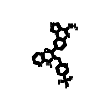 C[C@H](c1ncccn1)N(Cc1ccc(C(F)(F)F)cn1)C(=O)c1ccc2nc(N)c3cncn3c2c1